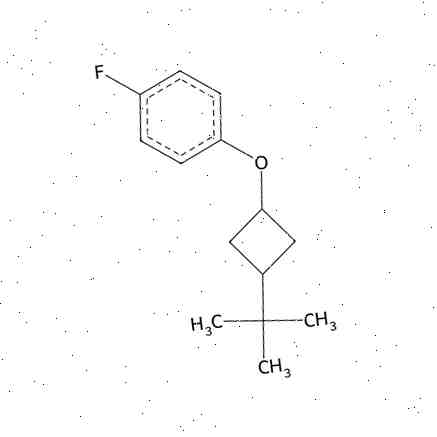 CC(C)(C)C1CC(Oc2ccc(F)cc2)C1